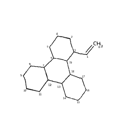 C=CC1CCCC2C3CCCCC3C3CCCCC3C12